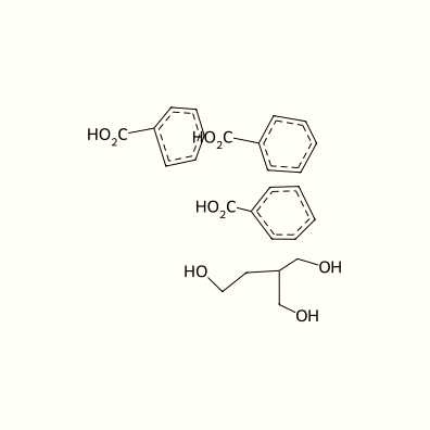 O=C(O)c1ccccc1.O=C(O)c1ccccc1.O=C(O)c1ccccc1.OCCC(CO)CO